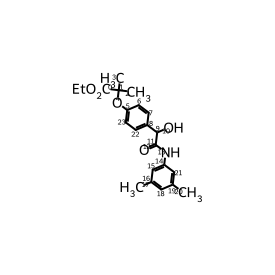 CCOC(=O)C(C)(C)Oc1ccc(C(O)C(=O)Nc2cc(C)cc(C)c2)cc1